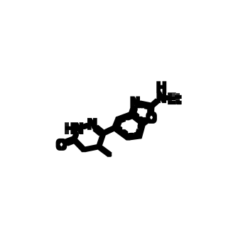 CCNc1nc2cc(C3=NNC(=O)CC3C)ccc2o1